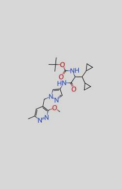 COc1nnc(C)cc1Cn1cc(NC(=O)C(NC(=O)OC(C)(C)C)C(C2CC2)C2CC2)cn1